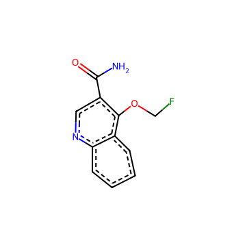 NC(=O)c1cnc2ccccc2c1OCF